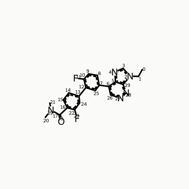 CCn1cnc2c(-c3ccc(F)c(-c4ccc(C(=O)N(C)C)c(F)c4)c3)cnnc21